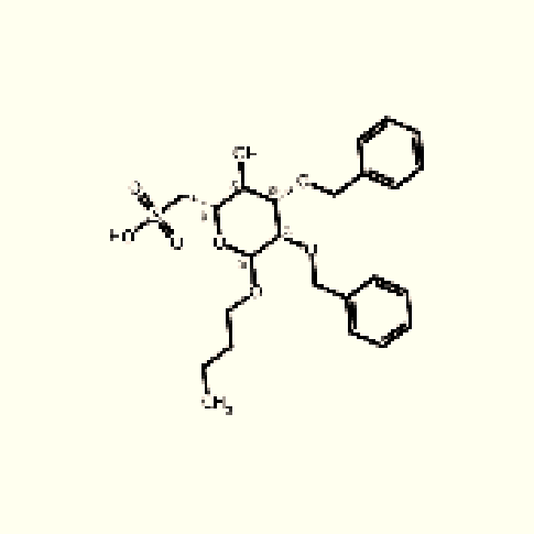 CCCCO[C@H]1O[C@H](CS(=O)(=O)O)[C@@H](O)[C@H](OCc2ccccc2)[C@H]1OCc1ccccc1